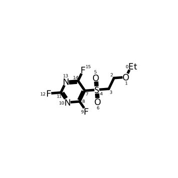 CCOCCS(=O)(=O)c1c(F)nc(F)nc1F